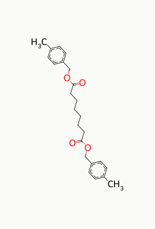 Cc1ccc(COC(=O)CCCCCCC(=O)OCc2ccc(C)cc2)cc1